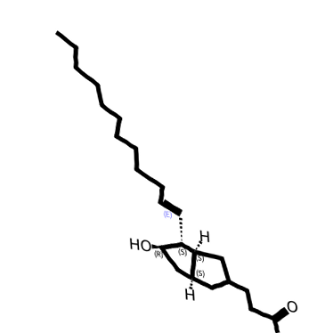 CCCCCCCCCC/C=C/[C@@H]1[C@H]2CC(CCC(=O)O)C[C@H]2C[C@H]1O